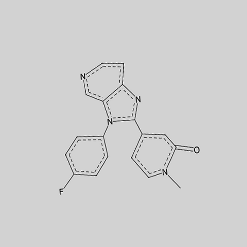 Cn1ccc(-c2nc3ccncc3n2-c2ccc(F)cc2)cc1=O